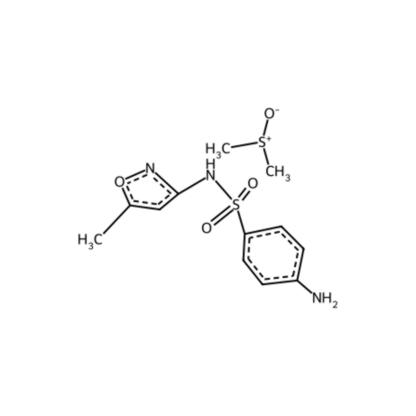 C[S+](C)[O-].Cc1cc(NS(=O)(=O)c2ccc(N)cc2)no1